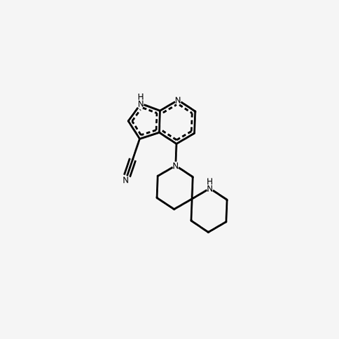 N#Cc1c[nH]c2nccc(N3CCCC4(CCCCN4)C3)c12